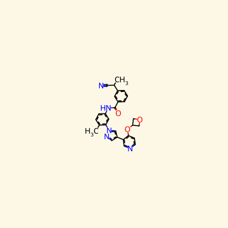 Cc1ccc(NC(=O)c2cccc(C(C)C#N)c2)cc1-n1cc(-c2cnccc2OC2COC2)cn1